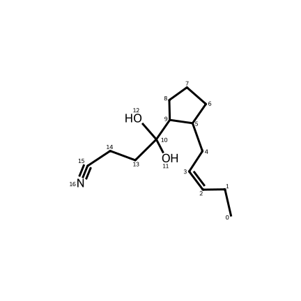 CC/C=C\CC1CCCC1C(O)(O)CCC#N